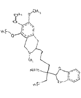 CCC(C#N)(CCCC1Cc2cc(OC)c(OC)c(OC)c2CN1C)C1Oc2ccccc2O1